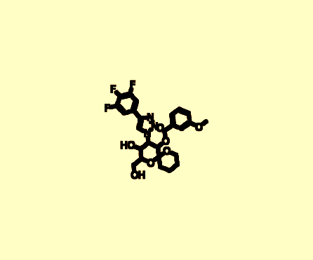 COc1cccc(C(=O)OC2C(n3cc(-c4cc(F)c(F)c(F)c4)nn3)C(O)C(CO)OC23CCCCO3)c1